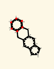 c1cc2c(cn1)C1c3cc4cscc4cc3C2c2cncnc21